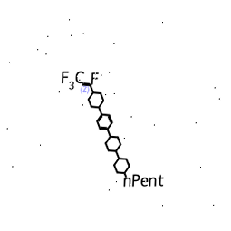 CCCCCC1CCC(C2CCC(c3ccc(C4CCC(/C(F)=C/C(F)(F)F)CC4)cc3)CC2)CC1